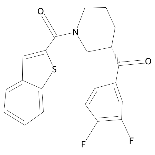 O=C(c1ccc(F)c(F)c1)[C@H]1CCCN(C(=O)c2cc3ccccc3s2)C1